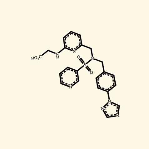 O=C(O)CNc1cccc(CN(Cc2ccc(-n3cncn3)cc2)S(=O)(=O)c2cccnc2)n1